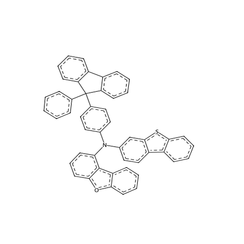 c1ccc(C2(c3ccc(N(c4ccc5c(c4)sc4ccccc45)c4cccc5oc6ccccc6c45)cc3)c3ccccc3-c3ccccc32)cc1